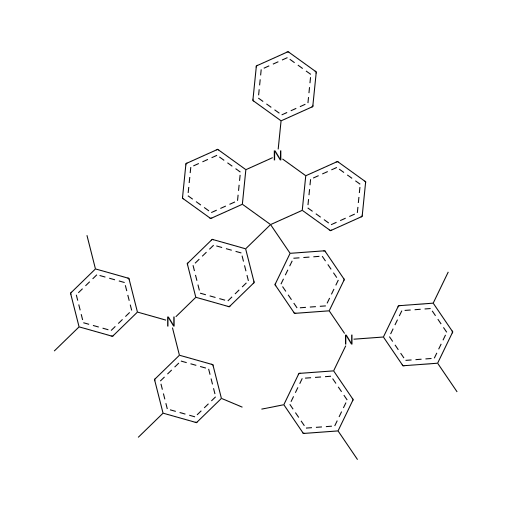 Cc1cc(C)cc(N(c2ccc(C3(c4ccc(N(c5cc(C)cc(C)c5)c5cc(C)cc(C)c5)cc4)c4ccccc4N(c4ccccc4)c4ccccc43)cc2)c2cc(C)cc(C)c2)c1